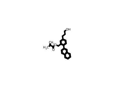 C=C(C)C(=O)OCc1cc(CCCO)ccc1-c1ccc2ccccc2c1